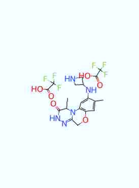 Cc1cc2c(cc1NC1CNC1)N1C(=NNC(=O)C1C)CO2.O=C(O)C(F)(F)F.O=C(O)C(F)(F)F